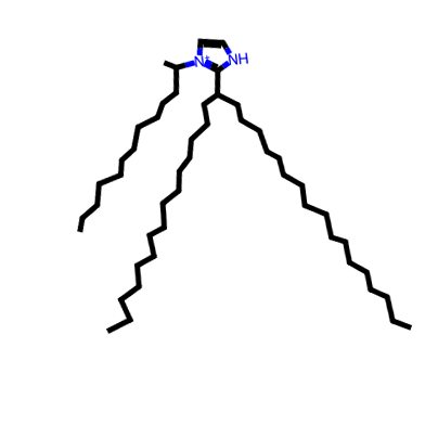 CCCCCCCCCCCCCCCCCC(CCCCCCCCCCCCCCC)c1[nH]cc[n+]1C(C)CCCCCCCCCCC